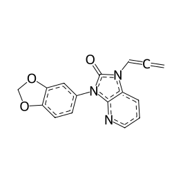 C=C=Cn1c(=O)n(-c2ccc3c(c2)OCO3)c2ncccc21